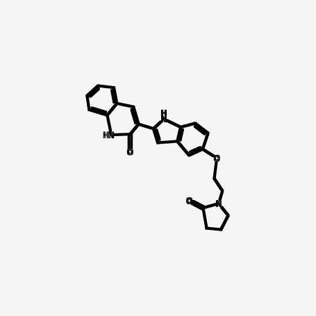 O=C1CCCN1CCOc1ccc2[nH]c(-c3cc4ccccc4[nH]c3=O)cc2c1